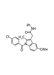 COc1ccc2c(c1)c(CC(=O)NC(C)C)c(C)n2C(=O)c1ccc(Cl)cc1